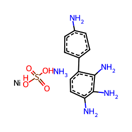 N.Nc1ccc(-c2ccc(N)c(N)c2N)cc1.O=S(=O)(O)O.[Ni]